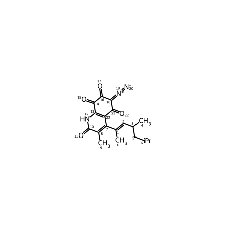 CC(=CC(C)CC(C)C)c1c(C)c(=O)[nH]c2c(=O)c(=O)c(=[N+]=[N-])c(=O)c12